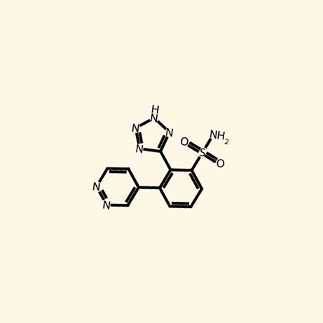 NS(=O)(=O)c1cccc(-c2ccnnc2)c1-c1nn[nH]n1